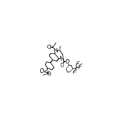 CC(=O)N1C2CCC(C3CCC(S(C)(=O)=O)CC3)CC2N(C(=O)OC2CCCC(C(F)(F)F)C2)C[C@@H]1C